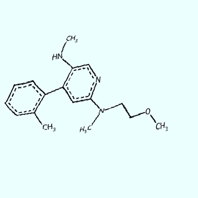 CNc1cnc(N(C)CCOC)cc1-c1ccccc1C